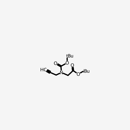 C#CCN(CC(=O)OC(C)CC)C(=O)OC(C)(C)C